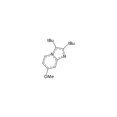 COc1ccn2c(C(C)(C)C)c(C(C)(C)C)nc2c1